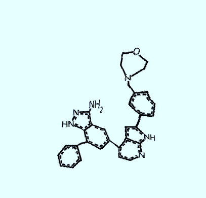 Nc1n[nH]c2c(-c3ccccc3)cc(-c3ccnc4[nH]c(-c5cccc(CN6CCOCC6)c5)cc34)cc12